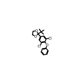 CC(C)(C)C1(c2cc(Cl)c(Oc3ccccc3)c(Cl)c2)OCCO1